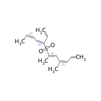 C=C/C=C(C)\C=C(/C)S(=O)(=O)/C(C=C)=C/C=C\C